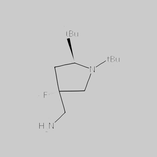 CC(C)(C)[C@@H]1C[C@](F)(CN)CN1C(C)(C)C